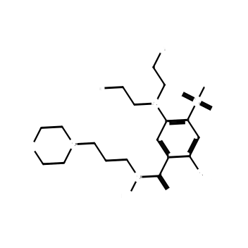 CCS(=O)(=O)c1cc([N+](=O)[O-])c(C(=O)N(C)CCCN2CCOCC2)cc1N(CCBr)CCBr